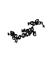 COc1cc(-c2cn(C)c(=O)c3ccc(F)cc23)cc(Cl)c1CN1CCC(N2CCC(c3ccc(NC4CCC(=O)NC4=O)cc3)CC2)CC1